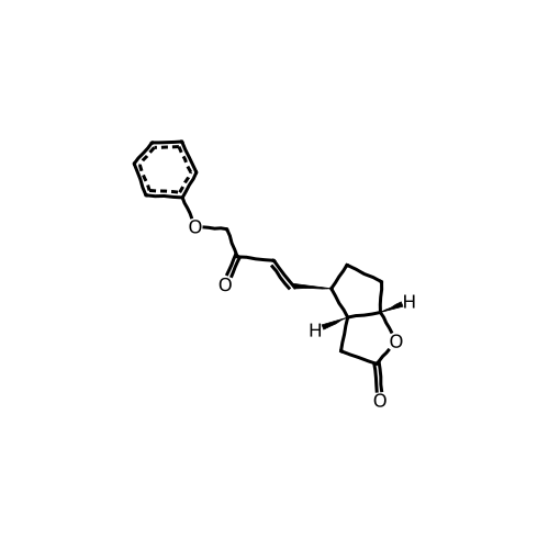 O=C(C=C[C@H]1CC[C@@H]2OC(=O)C[C@@H]21)COc1ccccc1